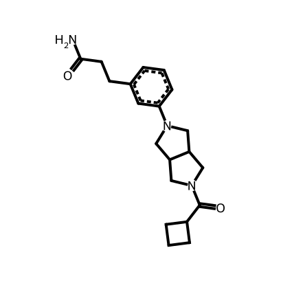 NC(=O)CCc1cccc(N2CC3CN(C(=O)C4CCC4)CC3C2)c1